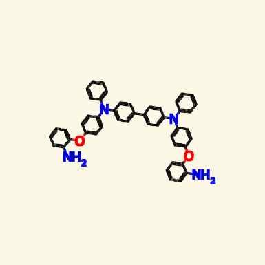 Nc1ccccc1Oc1ccc(N(c2ccccc2)c2ccc(-c3ccc(N(c4ccccc4)c4ccc(Oc5ccccc5N)cc4)cc3)cc2)cc1